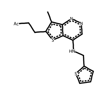 CC(=O)CCc1sc2c(NCc3cccs3)cnnc2c1C